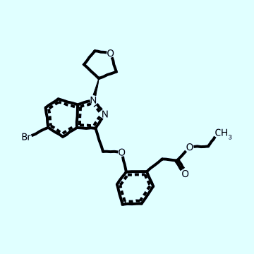 CCOC(=O)Cc1ccccc1OCc1nn([C@H]2CCOC2)c2ccc(Br)cc12